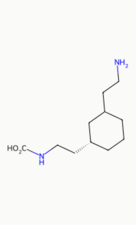 NCCC1CCC[C@H](CCNC(=O)O)C1